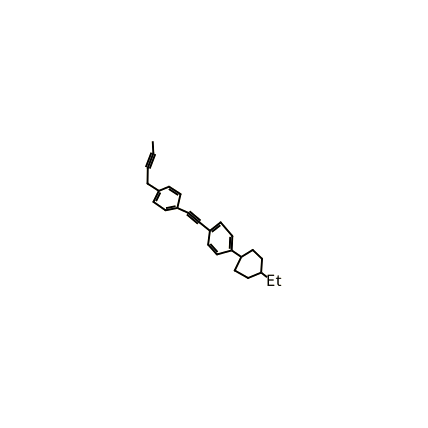 CC#CCc1ccc(C#Cc2ccc(C3CCC(CC)CC3)cc2)cc1